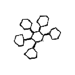 [CH]1C(=C2CCCCC2)C(=C2CCCCC2)C(=C2CCCCC2)C(=C2CCCCC2)C1=C1CCCCC1